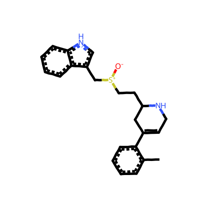 Cc1ccccc1C1=CCNC(CC[S+]([O-])Cc2c[nH]c3ccccc23)C1